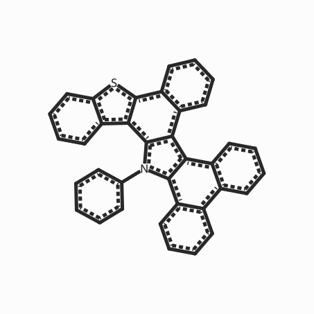 c1ccc(-n2c3c4ccccc4c4ccccc4c3c3c4ccccc4c4sc5ccccc5c4c32)cc1